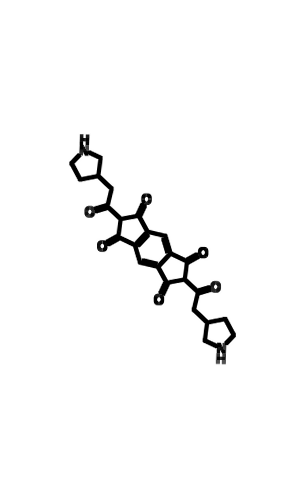 O=C(CC1CCNC1)C1C(=O)c2cc3c(cc2C1=O)C(=O)C(C(=O)CC1CCNC1)C3=O